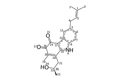 CC(C)=CCc1ccc2[nH]c3c(c2c1)C(=O)C(=O)C(C)=C3C[C@@H](C)O